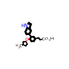 CC1CCC(Oc2ccc(CCC(=O)O)cc2-c2ccc3[nH]ccc3c2)C1